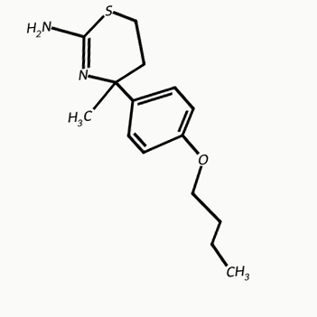 CCCCOc1ccc(C2(C)CCSC(N)=N2)cc1